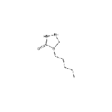 CCCCCN1CNNC1=O